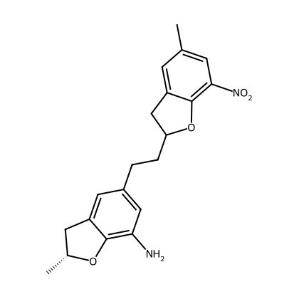 Cc1cc2c(c([N+](=O)[O-])c1)OC(CCc1cc(N)c3c(c1)C[C@@H](C)O3)C2